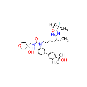 C=CC(CCCCN(C(=O)NCC1(CO)CCOCC1)c1cccc(-c2ccc(C(C)(C)O)cc2)c1)c1noc(C(C)(C)F)n1